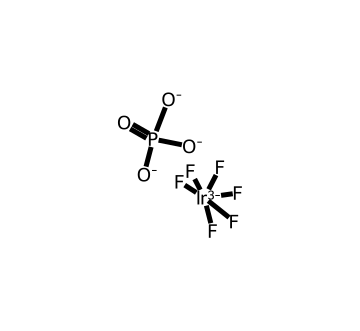 O=P([O-])([O-])[O-].[F][Ir-3]([F])([F])([F])([F])[F]